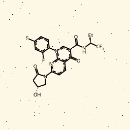 CC[C@H](NC(=O)c1cn(-c2ccc(F)cc2F)c2nc(N3C[C@H](O)CC3=O)ccc2c1=O)C(F)(F)F